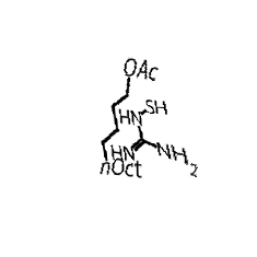 CCCCCCCCCCCCOC(C)=O.N=C(N)NS